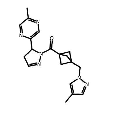 Cc1cnn(CC23CC(C(=O)N4N=CCC4c4cnc(C)cn4)(C2)C3)c1